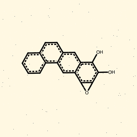 Oc1c2c(c3cc4c(ccc5ccccc54)cc3c1O)O2